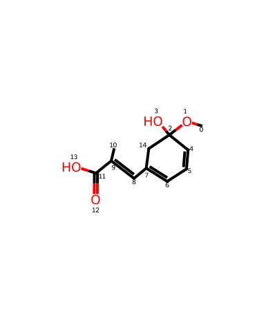 COC1(O)C=CC=C(/C=C(\C)C(=O)O)C1